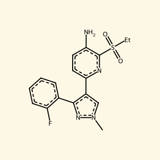 CCS(=O)(=O)c1nc(-c2cn(C)nc2-c2ccccc2F)ccc1N